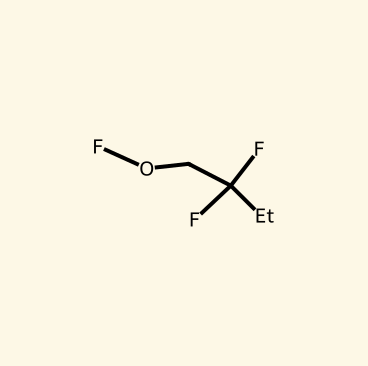 CCC(F)(F)COF